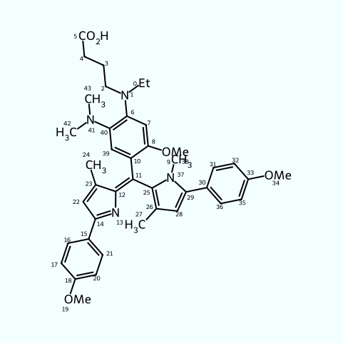 CCN(CCCC(=O)O)c1cc(OC)c(/C(=C2/N=C(c3ccc(OC)cc3)C=C2C)c2c(C)cc(-c3ccc(OC)cc3)n2C)cc1N(C)C